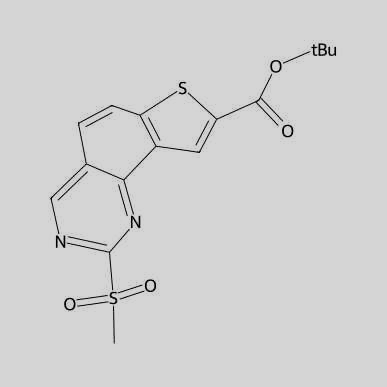 CC(C)(C)OC(=O)c1cc2c(ccc3cnc(S(C)(=O)=O)nc32)s1